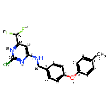 Cc1ccc(Oc2ccc(CNc3cc(C(F)F)nc(Cl)n3)cc2)cc1